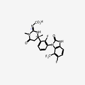 CN1C(=O)C[C@@](C)(c2cccc(-n3c(=O)[nH]c4ccc(F)c(C(F)(F)F)c43)c2F)N/C1=N\C(=O)O